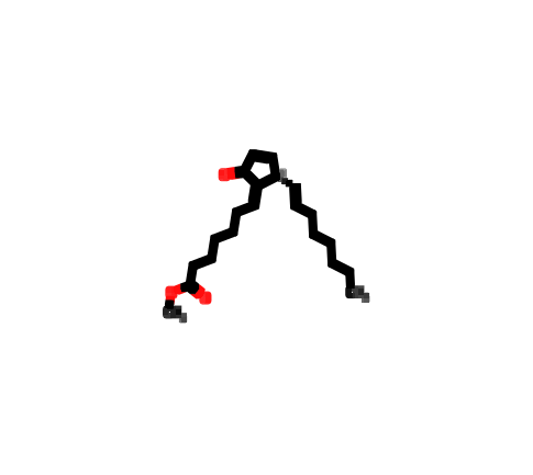 CCCCCCC=C[C@H]1C=CC(=O)C1=CCCCCCC(=O)OC